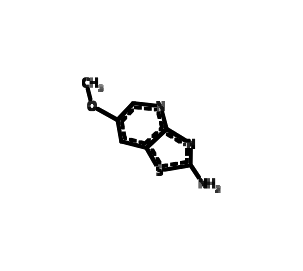 COc1cnc2nc(N)sc2c1